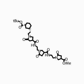 COC(=O)C1CC(=O)N(CCNC(=O)C2CC(=O)N(CCNC(=O)C3CC(=O)N(CC[C@H]4CCC[C@@H](C(=O)OC(C)(C)C)C4)C3)C2)C1